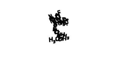 CC(C)N(C(=O)c1cc(F)ccc1Oc1cncnc1N1CC[C@@H](CN2CC3(CCC(NCC(C)(C)O)CC3)C2)C1)C(C)C